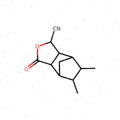 CC1C(C)C2CC1C1C(=O)OC(C#N)C21